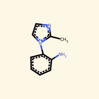 Cc1nccn1-c1ccccc1N